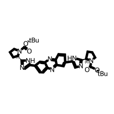 CC(C)(C)OC(=O)N1CCC[C@@H]1c1ncc(-c2ccc3nc4cc(-c5cnc([C@@H]6CCCN6C(=O)OC(C)(C)C)[nH]5)ccc4nc3c2)[nH]1